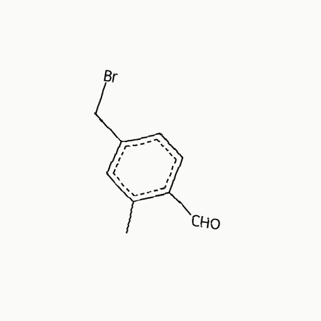 Cc1cc(CBr)ccc1C=O